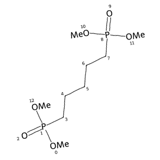 COP(=O)(CCCCCP(=O)(OC)OC)OC